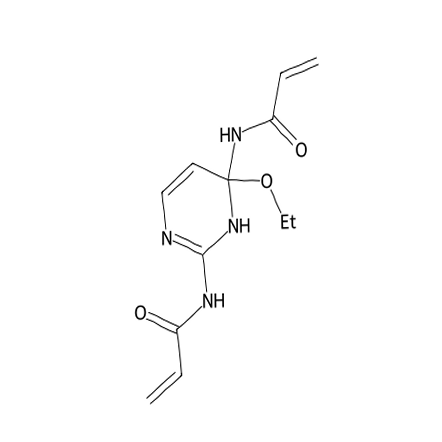 C=CC(=O)NC1=NC=CC(NC(=O)C=C)(OCC)N1